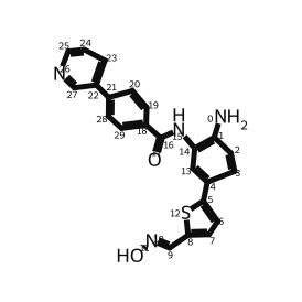 Nc1ccc(-c2ccc(C=NO)s2)cc1NC(=O)c1ccc(-c2cccnc2)cc1